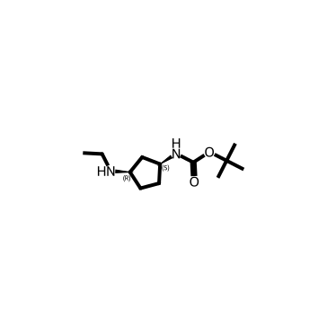 CCN[C@@H]1CC[C@H](NC(=O)OC(C)(C)C)C1